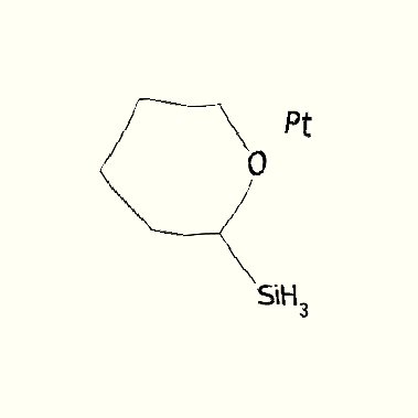 [Pt].[SiH3]C1CCCCO1